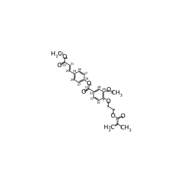 C=C(C)C(=O)OCCOc1ccc(C(=O)Oc2ccc(/C=C/C(=O)OC)cc2)cc1OC